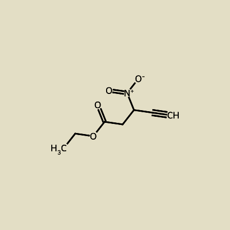 C#CC(CC(=O)OCC)[N+](=O)[O-]